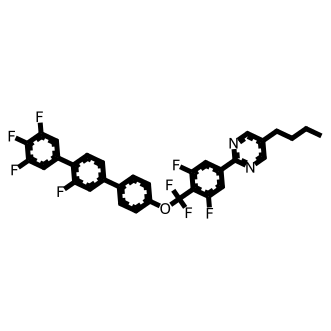 CCCCc1cnc(-c2cc(F)c(C(F)(F)Oc3ccc(-c4ccc(-c5cc(F)c(F)c(F)c5)c(F)c4)cc3)c(F)c2)nc1